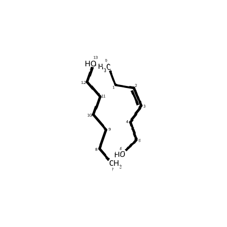 CC/C=C\CCO.CCCCCCO